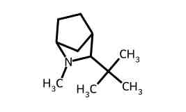 CN1C2CCC(C2)C1C(C)(C)C